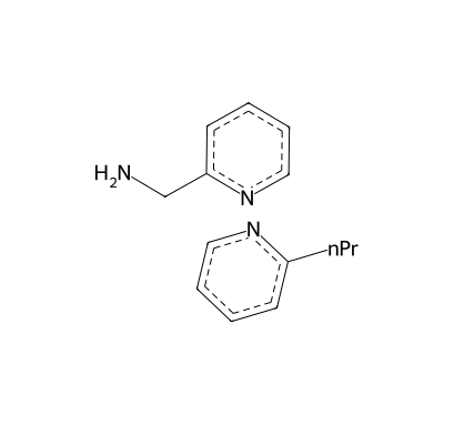 CCCc1ccccn1.NCc1ccccn1